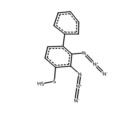 [N-]=[N+]=Nc1c(SS)ccc(-c2ccccc2)c1N=[N+]=[N-]